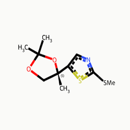 CSc1ncc([C@]2(C)COC(C)(C)O2)s1